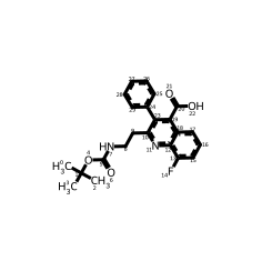 CC(C)(C)OC(=O)NCCc1nc2c(F)cccc2c(C(=O)O)c1-c1ccccc1